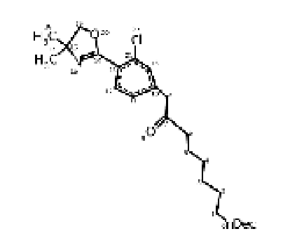 CCCCCCCCCCCCCCCCC(=O)Cc1ccc(C2=NC(C)(C)CO2)c(Cl)c1